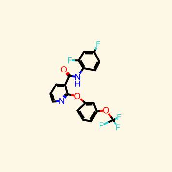 O=C(Nc1ccc(F)cc1F)c1cccnc1Oc1cccc(OC(F)(F)F)c1